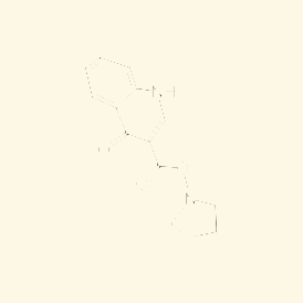 O=C(ON1CCOC1)c1c[nH]c2ccccc2c1=O